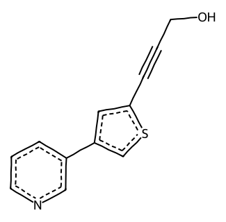 OCC#Cc1cc(-c2cccnc2)cs1